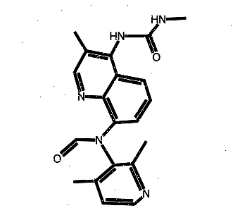 CNC(=O)Nc1c(C)cnc2c(N(C=O)c3c(C)ccnc3C)cccc12